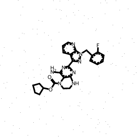 Nc1nc(-c2nn(Cc3ccccc3F)c3ncccc23)nc2c1N(C(=O)OC1CCCC1)CCN2